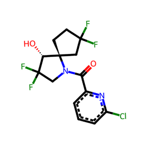 O=C(c1cccc(Cl)n1)N1CC(F)(F)[C@H](O)[C@@]12CCC(F)(F)C2